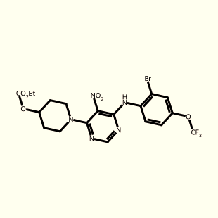 CCOC(=O)OC1CCN(c2ncnc(Nc3ccc(OC(F)(F)F)cc3Br)c2[N+](=O)[O-])CC1